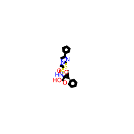 C[C@@H]1[C@H](c2ccccc2)[C@]1(NS(=O)(=O)c1cn2cc(-c3ccccc3)nc2s1)C(=O)O